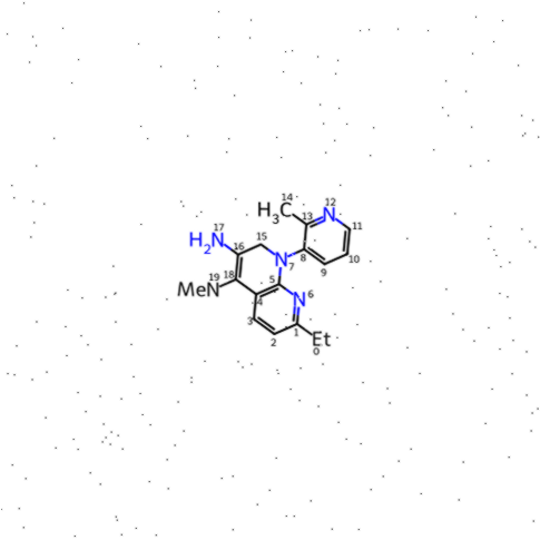 CCc1ccc2c(n1)N(c1cccnc1C)CC(N)=C2NC